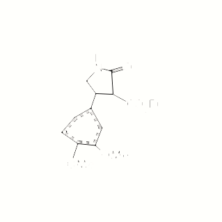 CCOC(=O)C1C(=O)NCC1c1ccc(OC)c(OC)c1